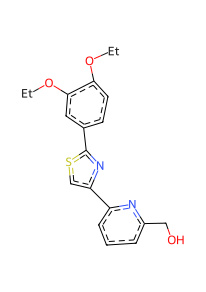 CCOc1ccc(-c2nc(-c3cccc(CO)n3)cs2)cc1OCC